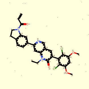 C=CC(=O)N1CCc2ccc(-c3cc4c(cn3)cc(-c3c(Cl)c(OC)cc(OC)c3Cl)c(=O)n4CC)cc21